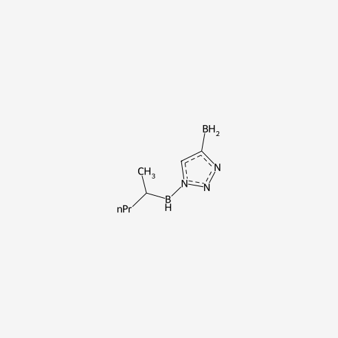 Bc1cn(BC(C)CCC)nn1